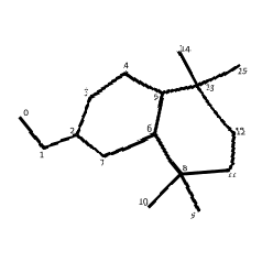 CCC1CCC2C(C1)C(C)(C)CCC2(C)C